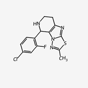 Cc1nn2c3c(nc2s1)CCNC3c1ccc(Cl)cc1F